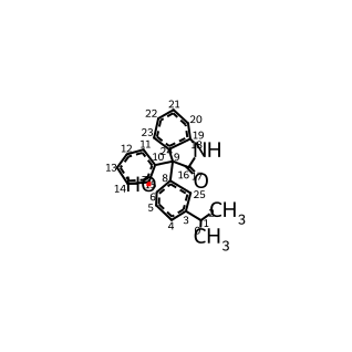 CC(C)c1ccc(O)c(C2(c3ccccc3)C(=O)Nc3ccccc32)c1